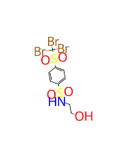 O=S(=O)(NCCO)c1ccc(S(=O)(=O)C(Br)(Br)Br)cc1